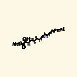 CCCCCC#C/C=C/C#CCCCCCC(O)C(=O)OC